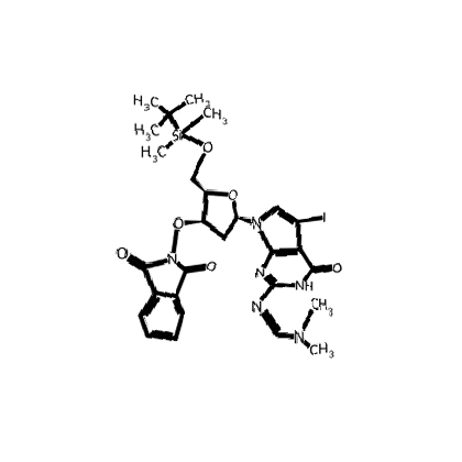 CN(C)/C=N\c1nc2c(c(I)cn2[C@H]2C[C@@H](ON3C(=O)c4ccccc4C3=O)[C@@H](CO[Si](C)(C)C(C)(C)C)O2)c(=O)[nH]1